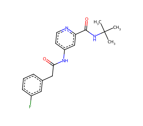 CC(C)(C)NC(=O)c1cc(NC(=O)Cc2cccc(F)c2)ccn1